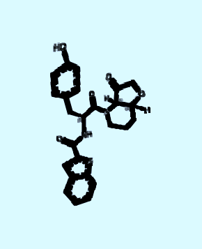 O=C(N[C@@H](Cc1ccc(O)cc1)C(=O)N1CCC[C@H]2OCC(=O)[C@H]21)c1cc2ccccc2s1